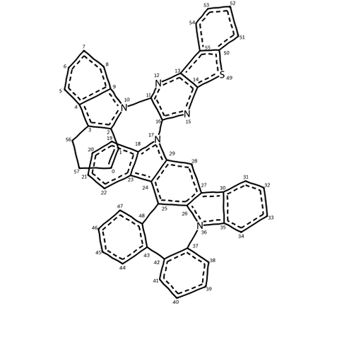 C1=Cc2c(c3ccccc3n2-c2nc3c(nc2-n2c4ccccc4c4c5c6c(cc42)c2ccccc2n6-c2ccccc2-c2ccccc2-5)sc2ccccc23)CC1